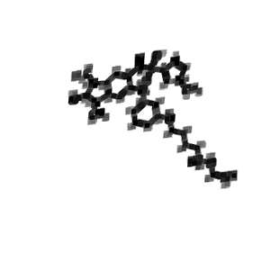 Cn1cnc(S(=O)(=O)Nc2cc3c(cc2Oc2cccc(OCCCCBOC=N)c2)n(C)c(=O)n3C)c1